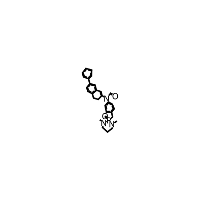 CN1CCCN(C)P1(=O)Cc1ccc(N(C=O)C2=Cc3cc(-c4ccccc4)ccc3CC2)cc1